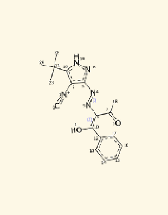 [C-]#[N+]c1c(/N=N/C(C(C)=O)=C(\O)c2ccccc2)n[nH]c1C(C)(C)C